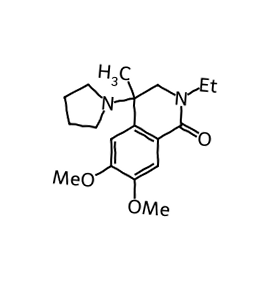 CCN1CC(C)(N2CCCC2)c2cc(OC)c(OC)cc2C1=O